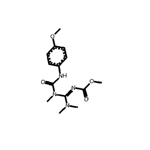 COC(=O)N=C(N(C)C)N(C)C(=O)Nc1ccc(OC)cc1